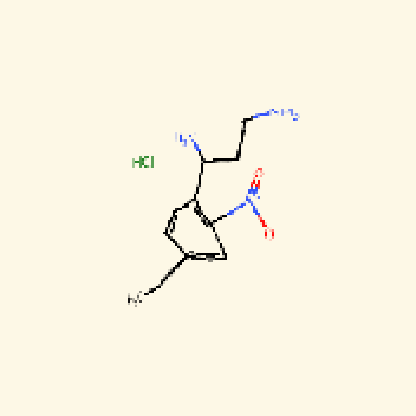 CCc1ccc(C(N)CCN)c([N+](=O)[O-])c1.Cl